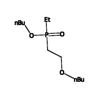 CCCCOCCP(=O)(CC)OCCCC